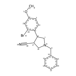 COc1ccc(C2CN(Cc3ccccc3)CC2C#N)c(Br)c1